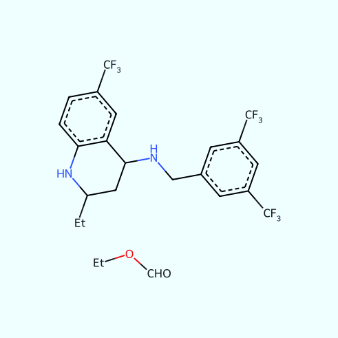 CCC1CC(NCc2cc(C(F)(F)F)cc(C(F)(F)F)c2)c2cc(C(F)(F)F)ccc2N1.CCOC=O